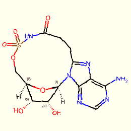 Nc1ncnc2c1nc1n2[C@@H]2O[C@H](COS(=O)(=O)NC(=O)CC1)[C@@H](O)[C@H]2O